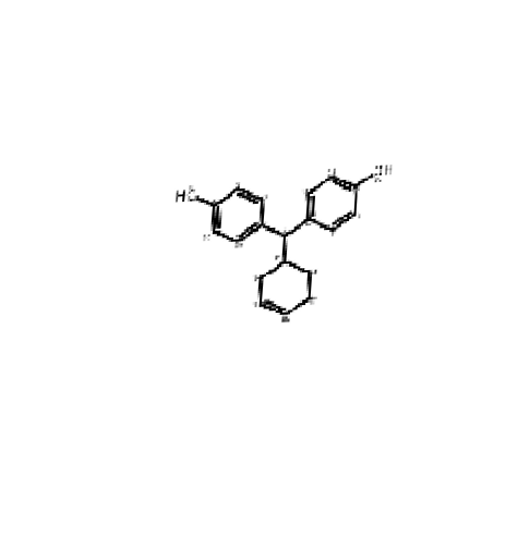 Oc1ccc(C(c2ccc(O)cc2)C2CC=CCC2)cc1